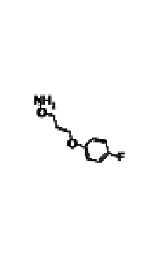 NOCCCOc1ccc(F)cc1